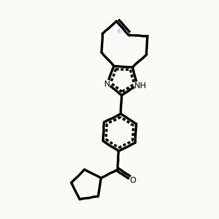 O=C(c1ccc(-c2nc3c([nH]2)CC/C=C/CC3)cc1)C1CCCC1